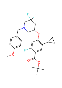 COc1ccc(CN2CC(Oc3cc(F)c(C(=O)OC(C)(C)C)cc3C3CC3)CC(F)(F)C2)cc1